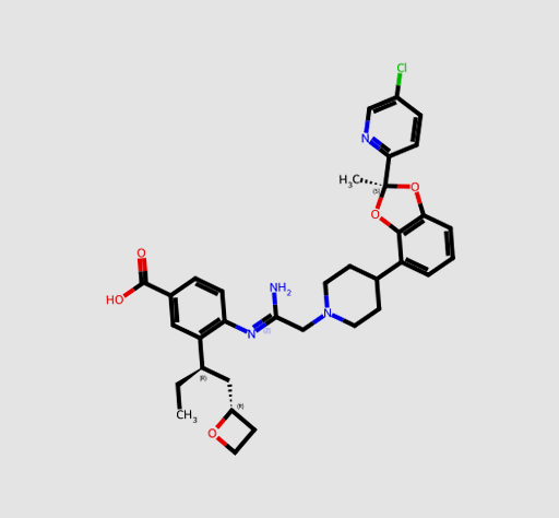 CC[C@H](C[C@@H]1CCO1)c1cc(C(=O)O)ccc1/N=C(\N)CN1CCC(c2cccc3c2O[C@@](C)(c2ccc(Cl)cn2)O3)CC1